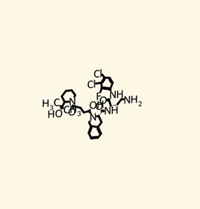 CC(C)(O)C1CCCCN1C(=O)CCC(O)N1Cc2ccccc2C[C@H]1C(=O)N[C@@H](CCN)C(=O)Nc1ccc(Cl)c(Cl)c1F